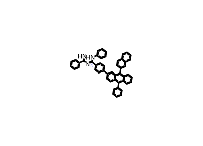 N=C(/N=C(\Nc1ccccc1)c1ccc(-c2ccc3c(-c4ccccc4)c4ccccc4c(-c4ccc5ccccc5c4)c3c2)cc1)c1ccccc1